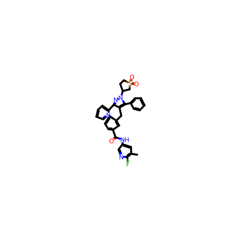 Cc1cc(NC(=O)c2cccc(Cc3c(-c4ccccn4)nn(C4CCS(=O)(=O)C4)c3-c3ccccc3)c2)cnc1F